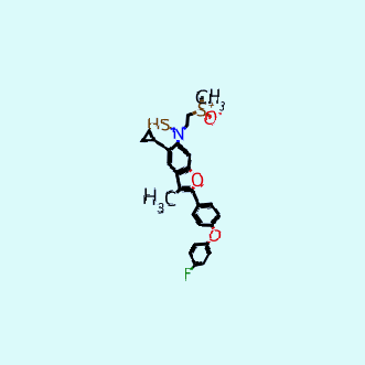 Cc1c(-c2ccc(Oc3ccc(F)cc3)cc2)oc2cc(N(S)CC[S+](C)[O-])c(C3CC3)cc12